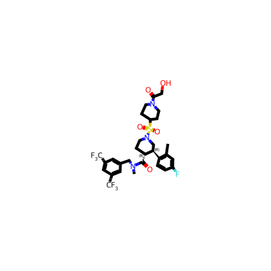 Cc1cc(F)ccc1[C@@H]1CN(S(=O)(=O)C2CCN(C(=O)CO)CC2)CC[C@H]1C(=O)N(C)Cc1cc(C(F)(F)F)cc(C(F)(F)F)c1